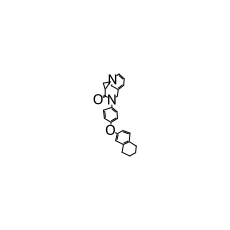 O=C(C1CC1)N(Cc1cccnc1)c1ccc(Oc2ccc3c(c2)CCCC3)cc1